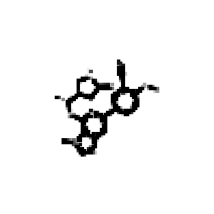 COc1ccc(-c2cc3ncn(C)c3c(O[C@H](C)[C@H]3CNC(=O)C3)n2)cc1C#N